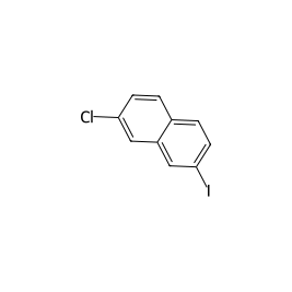 Clc1ccc2ccc(I)cc2c1